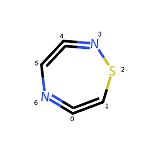 C1=CSN=C=CN=1